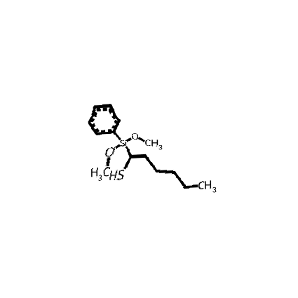 CCCCCC(S)[Si](OC)(OC)c1ccccc1